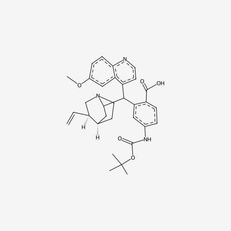 C=C[C@H]1CN2CC[C@@H]1CC2C(c1cc(NC(=O)OC(C)(C)C)ccc1C(=O)O)c1ccnc2ccc(OC)cc12